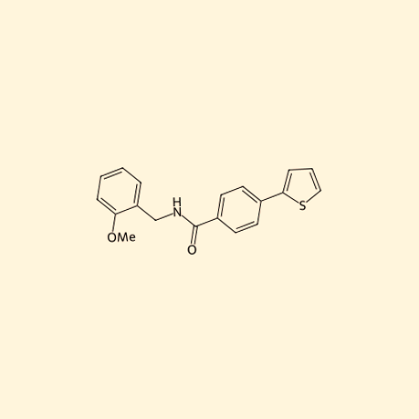 COc1ccccc1CNC(=O)c1ccc(-c2cccs2)cc1